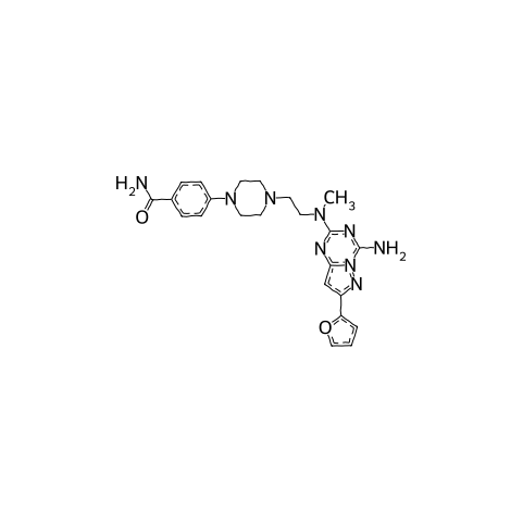 CN(CCN1CCN(c2ccc(C(N)=O)cc2)CC1)c1nc(N)n2nc(-c3ccco3)cc2n1